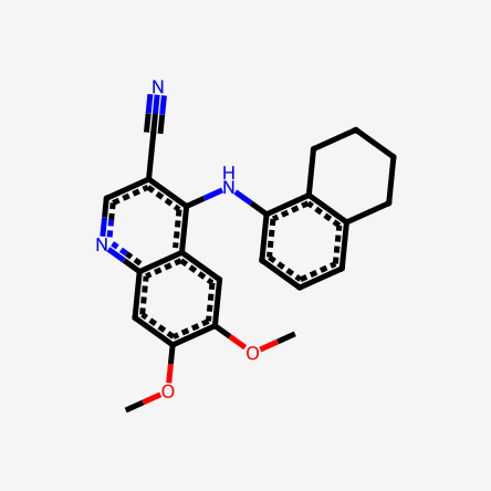 COc1cc2ncc(C#N)c(Nc3cccc4c3CCCC4)c2cc1OC